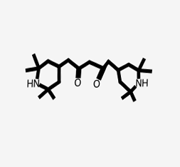 CC1(C)CC(CC(=O)CC(=O)CC2CC(C)(C)NC(C)(C)C2)CC(C)(C)N1